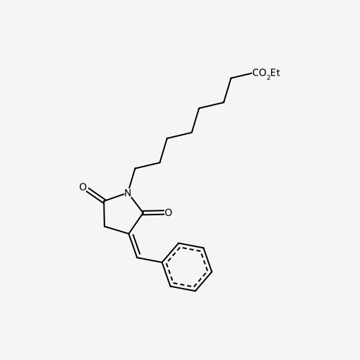 CCOC(=O)CCCCCCCN1C(=O)CC(=Cc2ccccc2)C1=O